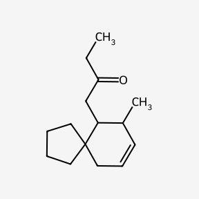 CCC(=O)CC1C(C)C=CCC12CCCC2